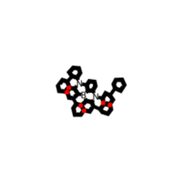 c1ccc(-c2cccc(N3c4cccc5c4B(c4cccc(-c6ccccc6)c43)c3c(-c4ccccc4)cccc3N5c3ccccc3-c3ccccc3)c2)cc1